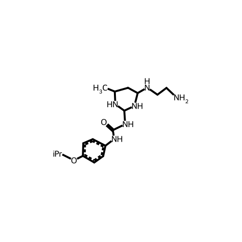 CC1CC(NCCN)NC(NC(=O)Nc2ccc(OC(C)C)cc2)N1